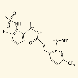 CCCNc1nc(C(F)(F)F)ccc1C=CC(=O)N[C@H](C)c1cccc(F)c1NS(C)(=O)=O